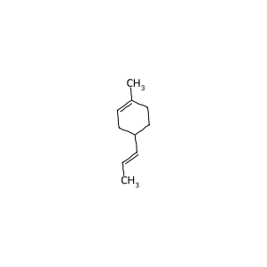 CC=CC1CC=C(C)CC1